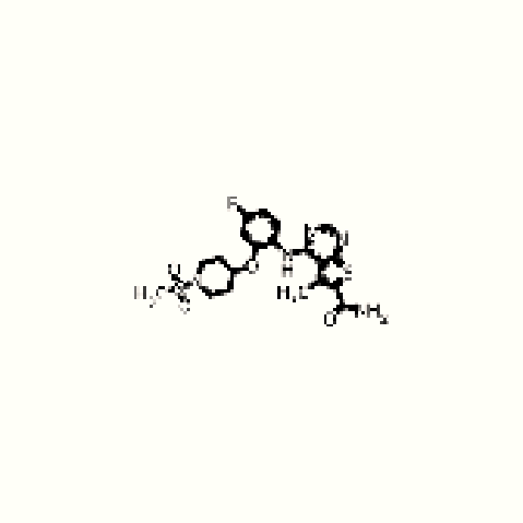 Cc1c(C(N)=O)sc2ncnc(Nc3ccc(F)cc3OC3CCN(S(C)(=O)=O)CC3)c12